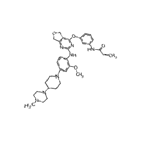 C=CC(=O)Nc1cccc(Oc2nc(Nc3ccc(N4CCC(N5CCN(C)CC5)CC4)cc3OC)nc3c2COC3)c1